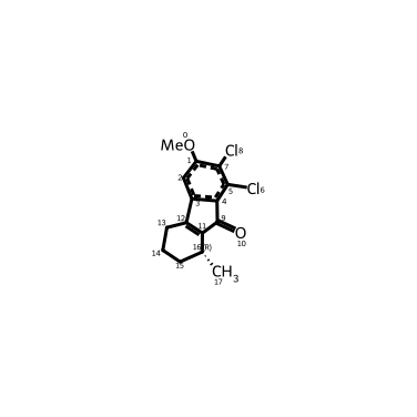 COc1cc2c(c(Cl)c1Cl)C(=O)C1=C2CCC[C@H]1C